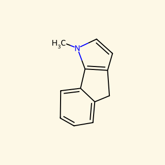 Cn1ccc2c1-c1ccccc1C2